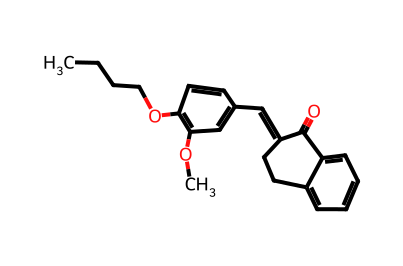 CCCCOc1ccc(/C=C2\CCc3ccccc3C2=O)cc1OC